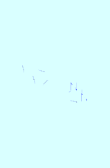 C=Cc1ccc(CCc2ccncn2)cc1